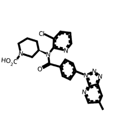 Cc1cnc2c(c1)nnn2-c1ccc(C(=O)N(c2ncccc2Cl)[C@@H]2CCCN(C(=O)O)C2)cc1